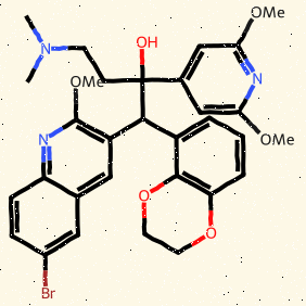 COc1cc(C(O)(CCN(C)C)C(c2cc3cc(Br)ccc3nc2OC)c2cccc3c2OCCO3)cc(OC)n1